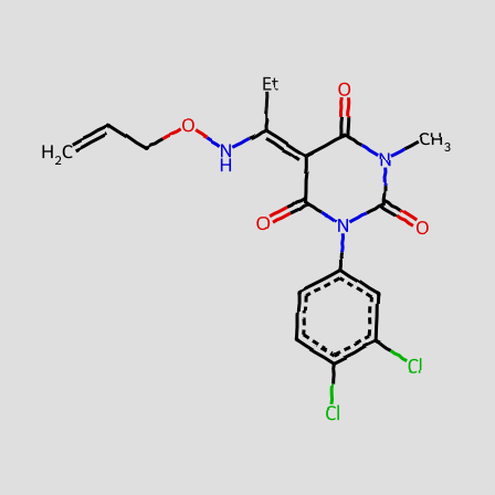 C=CCONC(CC)=C1C(=O)N(C)C(=O)N(c2ccc(Cl)c(Cl)c2)C1=O